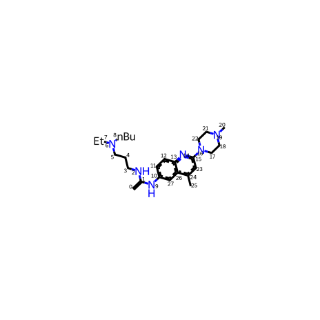 C=C(NCCCN(CC)CCCC)Nc1ccc2nc(N3CCN(C)CC3)cc(C)c2c1